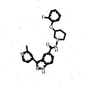 Cc1cc(-c2n[nH]c3ccc(C(=O)NN4CCCC(Oc5ccccc5F)C4)cc23)ccn1